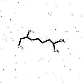 CCC(N)OCCCC(C)C